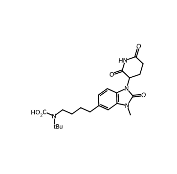 Cn1c(=O)n(C2CCC(=O)NC2=O)c2ccc(CCCCN(C(=O)O)C(C)(C)C)cc21